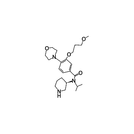 COCCCOc1cc(C(=O)N(C(C)C)[C@@H]2CCCNC2)ccc1N1CCOCC1